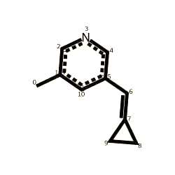 Cc1cncc(C=C2CC2)c1